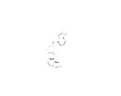 FC(F)(F)c1cn2c(N[C@H]3CCC[C@@H](Nc4nccn5cncc45)C3)cccc2n1